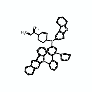 C=CC(=C)C1C=CC(N(c2ccc(-c3ccccc3-n3c4ccccc4c4cc5ccccc5cc43)c(-c3ccccc3)c2)c2ccc3sc4ccccc4c3c2)CC1